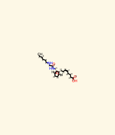 CCCCCCNCC(=O)NC[C@@H]1[C@H](CC/C=C\CCCC(=O)O)[C@@H]2CC[C@H]1O2